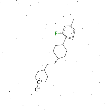 [CH2-][C+]1CCC(CCC2CCC(c3ccc(C)cc3F)CC2)CC1